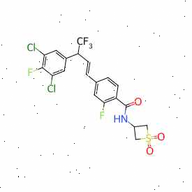 O=C(NC1CS(=O)(=O)C1)c1ccc(/C=C/C(c2cc(Cl)c(F)c(Cl)c2)C(F)(F)F)cc1F